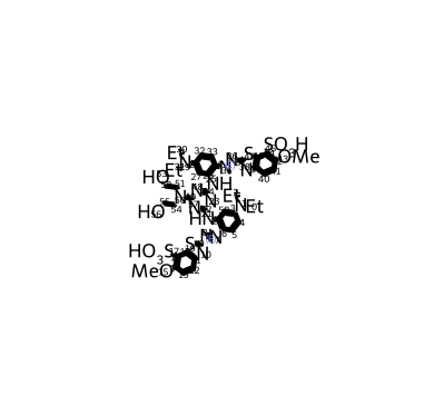 CCN(CC)c1ccc(/N=N/c2nc3ccc(OC)c(S(=O)(=O)O)c3s2)c(Nc2nc(Nc3cc(N(CC)CC)ccc3/N=N/c3nc4ccc(OC)c(S(=O)(=O)O)c4s3)nc(N(CCO)CCO)n2)c1